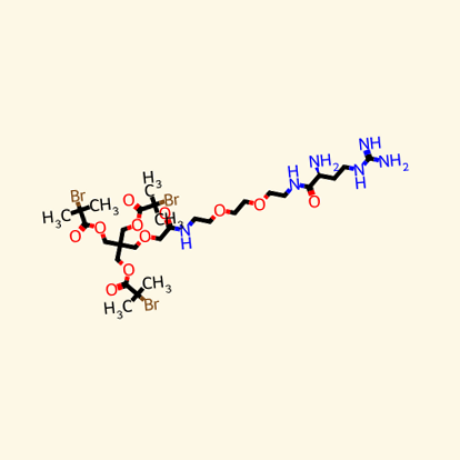 CC(C)(Br)C(=O)OCC(COCC(=O)NCCOCCOCCNC(=O)[C@@H](N)CCNC(=N)N)(COC(=O)C(C)(C)Br)COC(=O)C(C)(C)Br